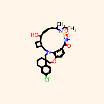 CCN1C(C)CC=CC(O)C2CCC2CN2CC3(CCCc4cc(Cl)ccc43)COc3ccc(cc32)C(=O)NS1(=O)=O